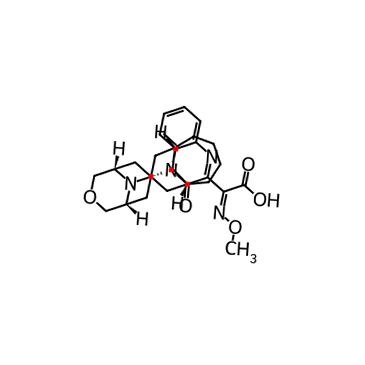 CO/N=C(\C(=O)O)c1nc2ccccc2n([C@H]2C[C@H]3COC[C@@H](C2)N3C2C[C@H]3CCCC[C@@H](C2)C3)c1=O